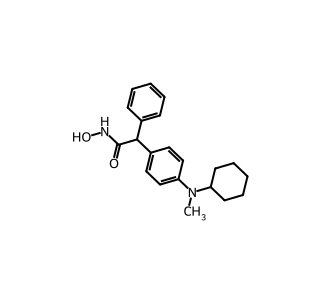 CN(c1ccc(C(C(=O)NO)c2ccccc2)cc1)C1CCCCC1